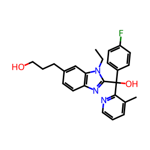 CCn1c(C(O)(c2ccc(F)cc2)c2ncccc2C)nc2ccc(CCCO)cc21